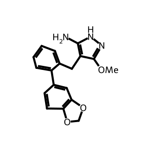 COc1n[nH]c(N)c1Cc1ccccc1-c1ccc2c(c1)OCO2